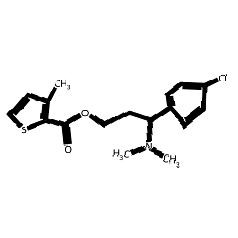 Cc1ccsc1C(=O)OCCC(c1ccc(Cl)cc1)N(C)C